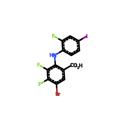 O=C(O)c1cc(Br)c(F)c(F)c1Nc1ccc(I)cc1F